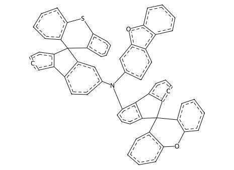 c1ccc2c(c1)Oc1ccccc1C21c2ccccc2-c2c(N(c3ccc4c(c3)C3(c5ccccc5Sc5ccccc53)c3ccccc3-4)c3ccc4c(c3)oc3ccccc34)cccc21